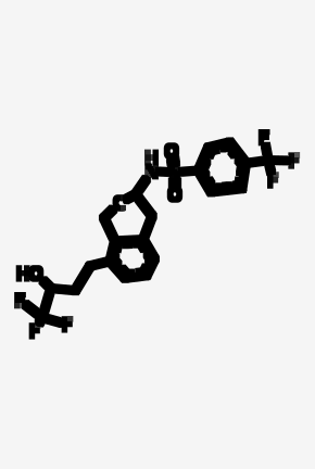 O=S(=O)(NC1CCc2c(CCC(O)C(F)(F)F)cccc2C1)c1ccc(C(F)(F)F)cc1